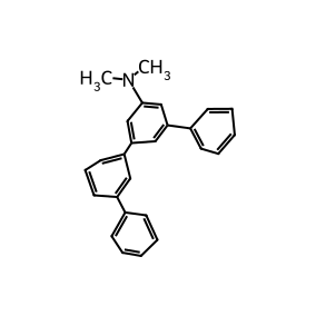 CN(C)c1cc(-c2ccccc2)cc(-c2cccc(-c3ccccc3)c2)c1